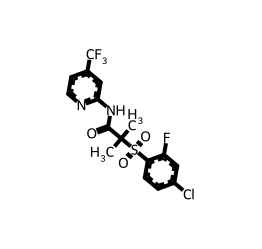 CC(C)(C(=O)Nc1cc(C(F)(F)F)ccn1)S(=O)(=O)c1ccc(Cl)cc1F